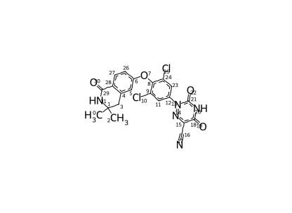 CC1(C)Cc2cc(Oc3c(Cl)cc(-n4nc(C#N)c(=O)[nH]c4=O)cc3Cl)ccc2C(=O)N1